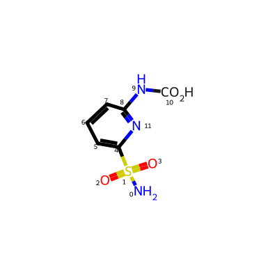 NS(=O)(=O)c1cccc(NC(=O)O)n1